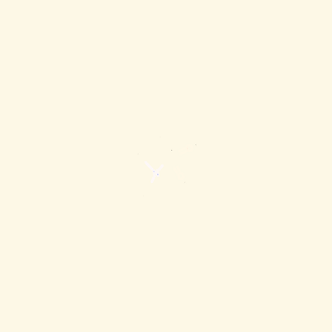 CN1CCS1(=O)=O